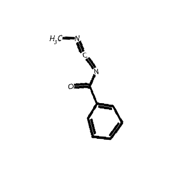 CN=C=NC(=O)c1ccccc1